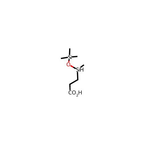 C[SiH](CCC(=O)O)O[Si](C)(C)C